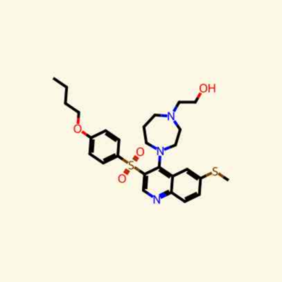 CCCCOc1ccc(S(=O)(=O)c2cnc3ccc(SC)cc3c2N2CCCN(CCO)CC2)cc1